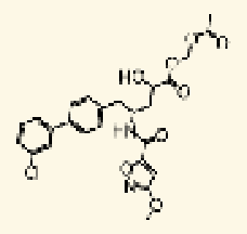 COc1cc(C(=O)NC(Cc2ccc(-c3cccc(Cl)c3)cc2)CC(O)C(=O)OCOC(C)=O)on1